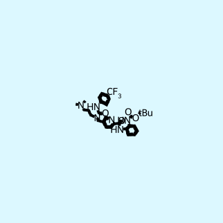 CN(C)CCCN(Cc1ccc(C(=O)Nc2ccccc2NC(=O)OC(C)(C)C)nc1)C(=O)Nc1ccc(C(F)(F)F)cc1